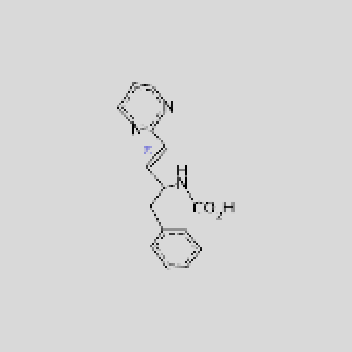 O=C(O)NC(/C=C/c1ncccn1)Cc1ccccc1